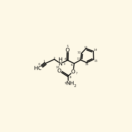 C#CCNC(=O)C(OC(N)=O)c1ccccc1